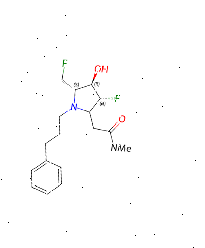 CNC(=O)CC1[C@@H](F)[C@H](O)[C@@H](CF)N1CCCc1ccccc1